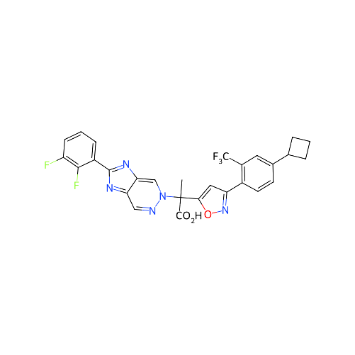 CC(C(=O)O)(c1cc(-c2ccc(C3CCC3)cc2C(F)(F)F)no1)n1cc2nc(-c3cccc(F)c3F)nc-2cn1